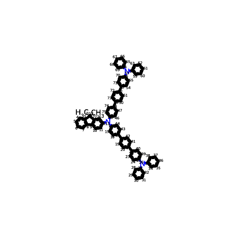 CC1(C)c2ccccc2-c2ccc(N(c3ccc(-c4ccc(-c5ccc(N(c6ccccc6)c6ccccc6)cc5)cc4)cc3)c3ccc(-c4ccc(-c5ccc(N(c6ccccc6)c6ccccc6)cc5)cc4)cc3)cc21